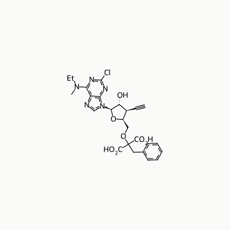 C#C[C@@H]1[C@@H](O)[C@H](n2cnc3c(N(C)CC)nc(Cl)nc32)O[C@@H]1COC(Cc1ccccc1)(C(=O)O)C(=O)O